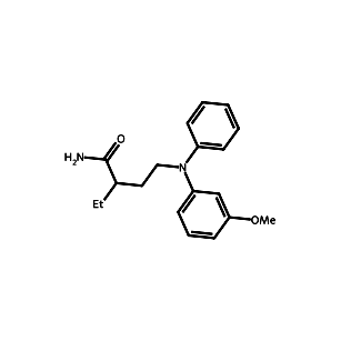 CCC(CCN(c1ccccc1)c1cccc(OC)c1)C(N)=O